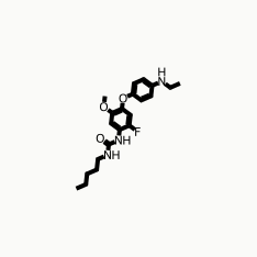 CCCCCNC(=O)Nc1cc(OC)c(Oc2ccc(NCC)cc2)cc1F